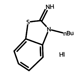 CCCCn1c(=N)sc2ccccc21.I